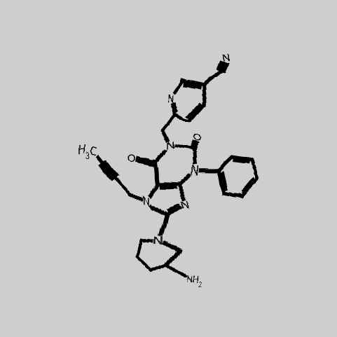 CC#CCn1c(N2CCCC(N)C2)nc2c1c(=O)n(Cc1ccc(C#N)cn1)c(=O)n2-c1ccccc1